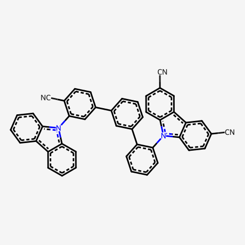 N#Cc1ccc2c(c1)c1cc(C#N)ccc1n2-c1ccccc1-c1cccc(-c2ccc(C#N)c(-n3c4ccccc4c4ccccc43)c2)c1